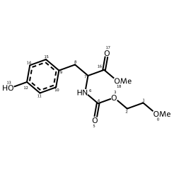 COCCOC(=O)NC(Cc1ccc(O)cc1)C(=O)OC